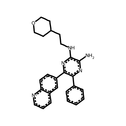 Nc1nc(-c2ccccc2)c(-c2ccc3ncccc3c2)nc1NCCC1CCOCC1